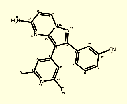 Cc1cc(-c2c(-c3cccc(C#N)c3)nn3ccc(N)nc23)cc(F)n1